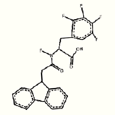 O=C(O)C(Cc1cc(F)c(F)c(F)c1F)N(F)C(=O)CC1c2ccccc2-c2ccccc21